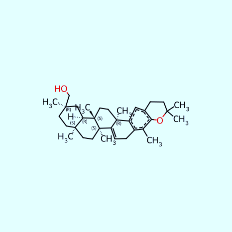 Cc1c2c(cc3c1OC(C)(C)CC3)[C@]1(C)CC[C@@]3(C)[C@@H]4C[C@](C)(CO)CC[C@]4(C)CC[C@]3(C)C1=CC2